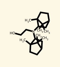 CC1(C)C2CCC1(C)C(N(CCO)C1CC3CCC1(C)C3(C)C)C2